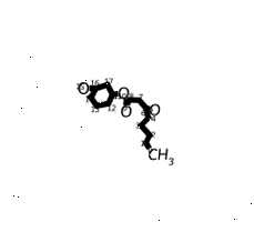 CCCCC1OC1CC(=O)OC1CCC2OC2C1